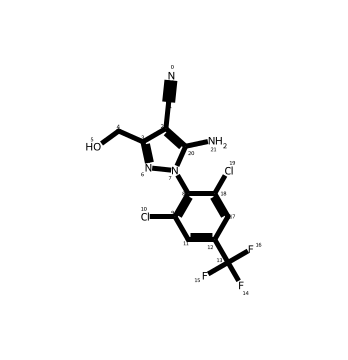 N#Cc1c(CO)nn(-c2c(Cl)cc(C(F)(F)F)cc2Cl)c1N